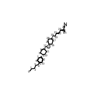 CCCCCc1ccc([C@H]2CC[C@H](CO[C@H]3CC[C@H](CCC=CC=C(F)C#N)CC3)CC2)cc1